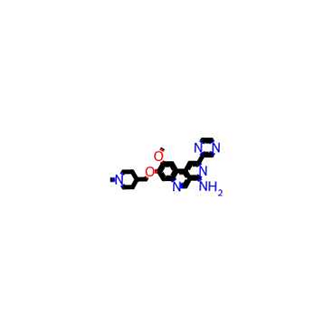 COc1cc2c(cc1OCC1CCN(C)CC1)ncc1c(N)nc(-c3cnccn3)cc12